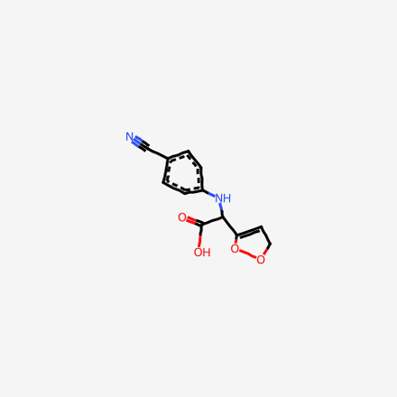 N#Cc1ccc(NC(C(=O)O)C2=CCOO2)cc1